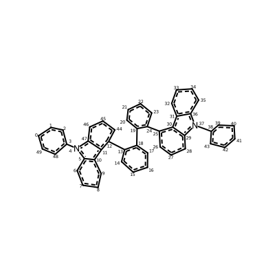 c1ccc(-n2c3ccccc3c3c(-c4ccccc4-c4ccccc4-c4cccc5c4c4ccccc4n5-c4ccccc4)cccc32)cc1